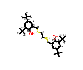 CC(C)(C)c1cc(CSCCSCc2cc(C(C)(C)C)cc(C(C)(C)C)c2O)c(O)c(C(C)(C)C)c1